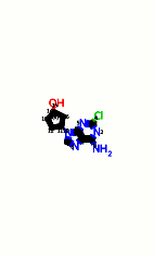 Nc1nc(Cl)nc2c1ncn2[C@@H]1CC[C@@H](O)C1